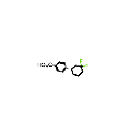 O=C(O)c1ccc([C@H]2CCCC(F)(F)C2)cc1